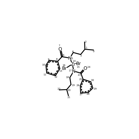 CC(C)CC[N](C(=O)c1ccccc1)[Zr]([Br])([Br])[N](CCC(C)C)C(=O)c1ccccc1